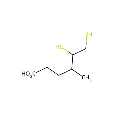 CC(CCC(=O)O)C(S)CS